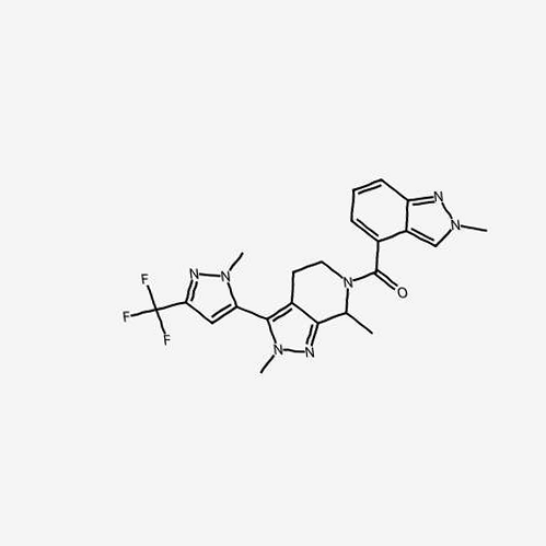 CC1c2nn(C)c(-c3cc(C(F)(F)F)nn3C)c2CCN1C(=O)c1cccc2nn(C)cc12